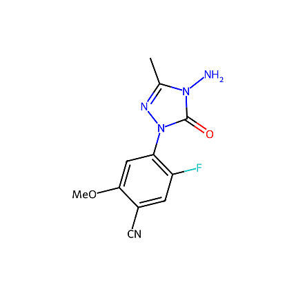 COc1cc(-n2nc(C)n(N)c2=O)c(F)cc1C#N